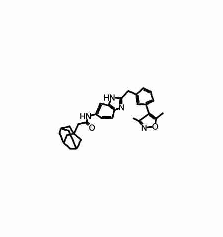 Cc1noc(C)c1-c1cccc(Cc2nc3ccc(NC(=O)CC45CC6CC(CC(C6)C4)C5)cc3[nH]2)c1